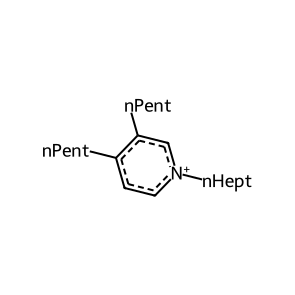 CCCCCCC[n+]1ccc(CCCCC)c(CCCCC)c1